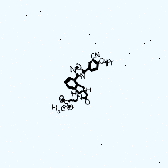 CC(C)Oc1ccc(-c2nc(-c3cccc4c3C[C@H]3CC(=O)N(CCS(C)(=O)=O)[C@@H]43)no2)cc1C#N